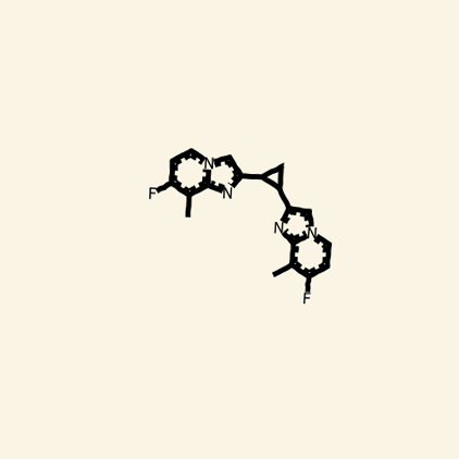 Cc1c(F)ccn2cc(C3CC3c3cn4ccc(F)c(C)c4n3)nc12